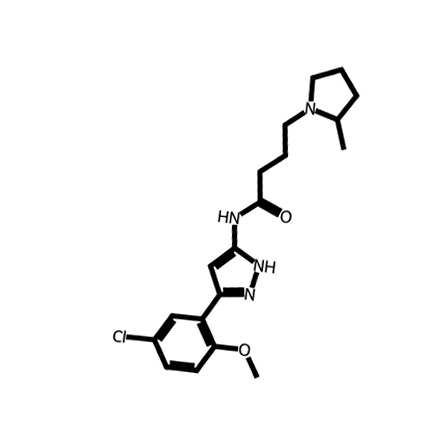 COc1ccc(Cl)cc1-c1cc(NC(=O)CCCN2CCCC2C)[nH]n1